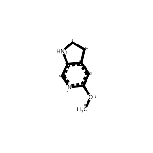 COc1cc2c(cn1)NCC2